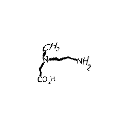 CN(CCN)CC(=O)O